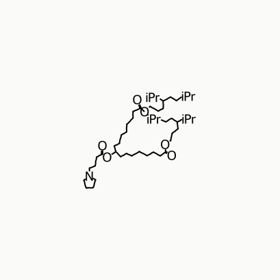 CC(C)CCC(CCCOC(=O)CCCCCCCC(CCCCCCCC(=O)OCCCC(CCC(C)C)C(C)C)OC(=O)CCCN1CCCC1)C(C)C